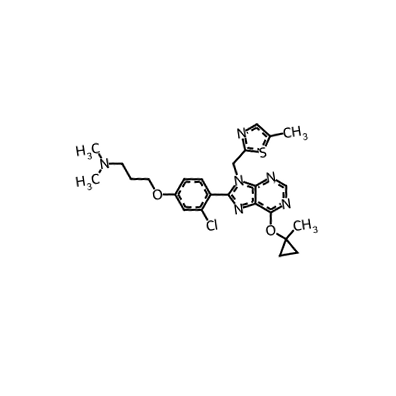 Cc1cnc(Cn2c(-c3ccc(OCCCN(C)C)cc3Cl)nc3c(OC4(C)CC4)ncnc32)s1